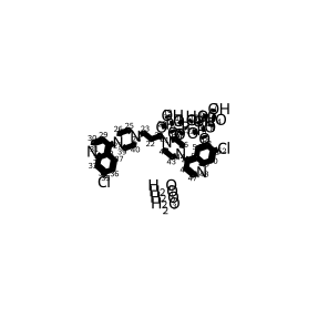 O.O.O.O.O=P(O)(O)OP(=O)(O)OP(=O)(O)OP(=O)(O)OC(CCN1CCN(c2ccnc3cc(Cl)ccc23)CC1)N1CCN(c2ccnc3cc(Cl)ccc23)CC1